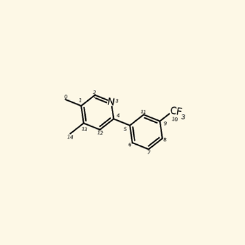 Cc1[c]nc(-c2cccc(C(F)(F)F)c2)cc1C